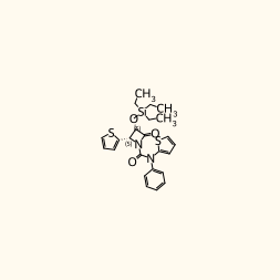 CC[Si](CC)(CC)O[C@@H]1C(=O)N(C(=O)N(c2ccccc2)c2cccs2)[C@@H]1c1cccs1